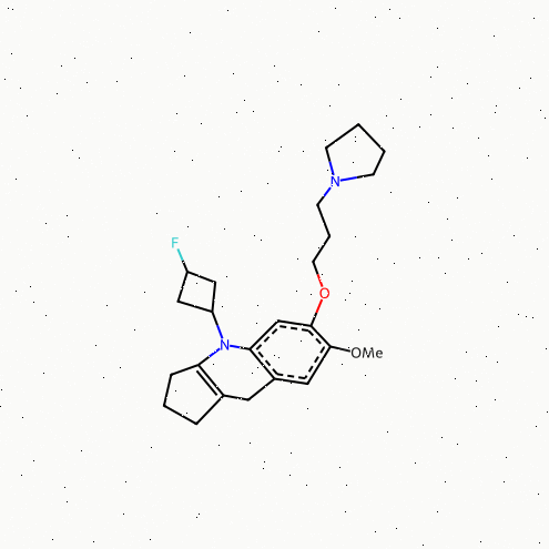 COc1cc2c(cc1OCCCN1CCCC1)N(C1CC(F)C1)C1=C(CCC1)C2